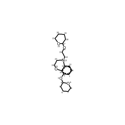 c1cc(OC2CCCCO2)c2c(c1)N(CCOC1CCCCO1)CCO2